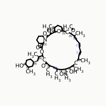 CO[C@H]1C[C@@H]2CC[C@@H](C)[C@@](O)(O2)C(=O)C(=O)N2CCCC[C@H]2C(=O)OC([C@H](C)C[C@@H]2CC[C@@H](O)[C@H](C)C2)CC(=O)[C@H](C)/C=C(\C)[C@@H](O)[C@@H](C)[C@@H](O)[C@H](C)C[C@H](C)/C=C/C=C/C=C/1C